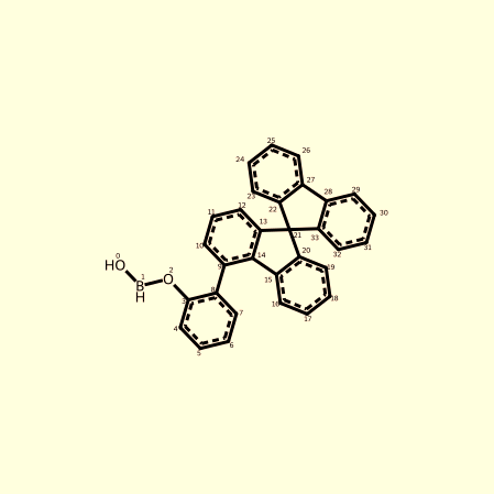 OBOc1ccccc1-c1cccc2c1-c1ccccc1C21c2ccccc2-c2ccccc21